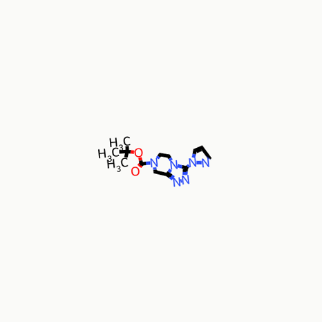 CC(C)(C)OC(=O)N1CCn2c(nnc2-n2cccn2)C1